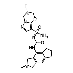 C[C@@H]1Cc2cc3c(c(NC(=O)N=S(N)(=O)c4cnn5c4OC[C@@H](F)C5)c2C1)CCC3